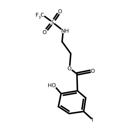 O=C(OCCNS(=O)(=O)C(F)(F)F)c1cc(I)ccc1O